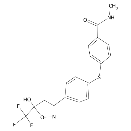 CNC(=O)c1ccc(Sc2ccc(C3=NOC(O)(C(F)(F)F)C3)cc2)cc1